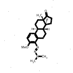 COc1ccc2c(c1/N=N/N(C)C)CC[C@@H]1[C@@H]2CC[C@]2(C)C(=O)CC[C@@H]12